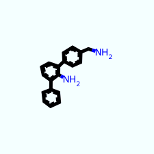 NCc1ccc(-c2cccc(-c3ccccc3)c2N)cc1